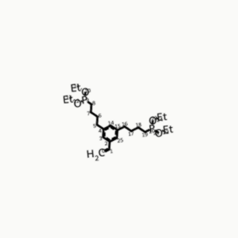 C=Cc1cc(CCCCP(OCC)OCC)cc(CCCCP(OCC)OCC)c1